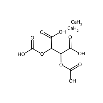 O=C(O)OC(C(=O)O)C(OC(=O)O)C(=O)O.[CaH2].[CaH2]